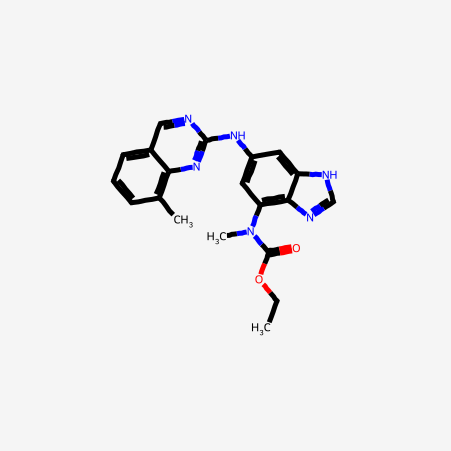 CCOC(=O)N(C)c1cc(Nc2ncc3cccc(C)c3n2)cc2[nH]cnc12